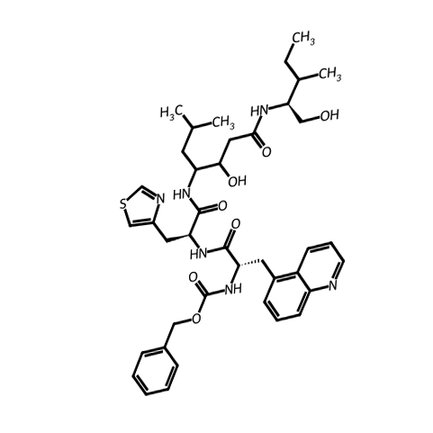 CCC(C)[C@@H](CO)NC(=O)CC(O)C(CC(C)C)NC(=O)[C@H](Cc1cscn1)NC(=O)[C@H](Cc1cccc2ncccc12)NC(=O)OCc1ccccc1